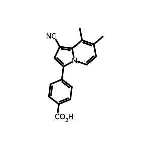 Cc1ccn2c(-c3ccc(C(=O)O)cc3)cc(C#N)c2c1C